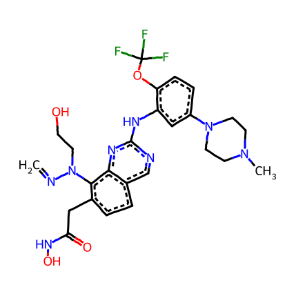 C=NN(CCO)c1c(CC(=O)NO)ccc2cnc(Nc3cc(N4CCN(C)CC4)ccc3OC(F)(F)F)nc12